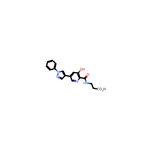 O=C(O)CCNC(=O)c1ncc(-c2cnn(-c3ccccc3)c2)cc1O